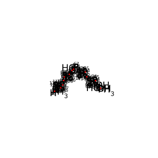 O=P(O)(O)c1ccccc1.OP(O)O.P.P.[H+].c1ccc([P+](c2ccccc2)(c2ccccc2)c2ccccc2)cc1.c1ccc([P+](c2ccccc2)(c2ccccc2)c2ccccc2)cc1.c1ccc([P+](c2ccccc2)(c2ccccc2)c2ccccc2)cc1.c1ccc([P+](c2ccccc2)(c2ccccc2)c2ccccc2)cc1